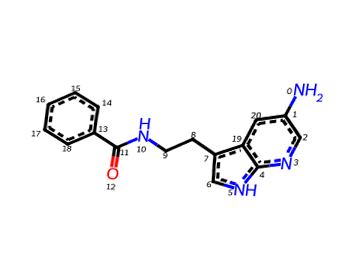 Nc1cnc2[nH]cc(CCNC(=O)c3ccccc3)c2c1